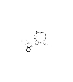 CC(C)Nc1nc(OC2CC3C(=O)NC4([C]=O)CC4/C=C/CCCCN(C(N)=O)C(=O)C3C2)c2ccccc2n1